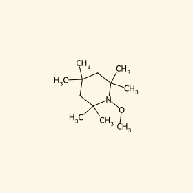 CON1C(C)(C)CC(C)(C)CC1(C)C